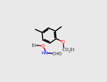 CCOC(=O)Oc1ccc(C)cc1C.CCONC=O